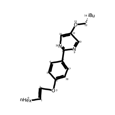 CCCCCC/C=C/Oc1ccc(-c2ncc(OC[C@@H](C)CC)cn2)cc1